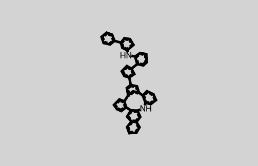 c1ccc(-c2cccc(Nc3ccccc3-c3cccc(-c4cc5cc(c4)-c4ccccc4-c4cc6ccccc6cc4Nc4ccccc4-5)c3)c2)cc1